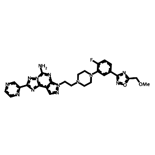 COCc1nc(-c2ccc(F)c(N3CCN(CCn4ncc5c4nc(N)n4nc(-c6cnccn6)nc54)CC3)c2)no1